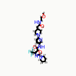 COCCNC(=O)CC1CCN(c2ccc(NC(=O)c3oc(N4CCCCC4)nc3C(F)(F)F)cn2)CC1